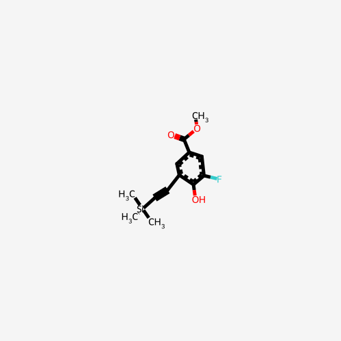 COC(=O)c1cc(F)c(O)c(C#C[Si](C)(C)C)c1